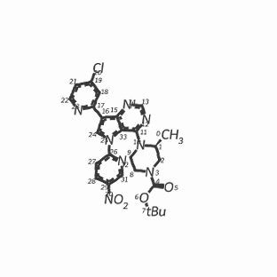 C[C@H]1CN(C(=O)OC(C)(C)C)CCN1c1ncnc2c(-c3cc(Cl)ccn3)cn(-c3ccc([N+](=O)[O-])cn3)c12